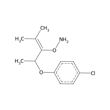 CC(C)=C(ON)C(C)Oc1ccc(Cl)cc1